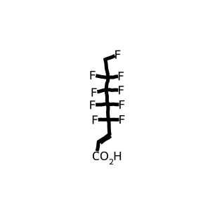 O=C(O)C=CC(F)(F)C(F)(F)C(F)(F)C(F)(F)CF